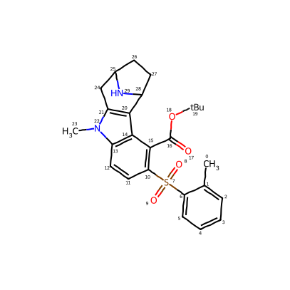 Cc1ccccc1S(=O)(=O)c1ccc2c(c1C(=O)OC(C)(C)C)c1c(n2C)CC2CCC1N2